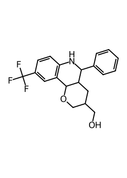 OCC1COC2c3cc(C(F)(F)F)ccc3NC(c3ccccc3)C2C1